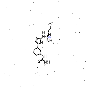 CNC(=S)NC1CCCC(c2csc(N/C(N)=N\CCOC)n2)C1